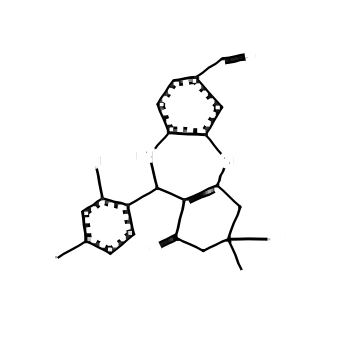 CC1(C)CC(=O)C2=C(C1)Nc1cc(C=O)ccc1NC2c1ccc(Cl)cc1Cl